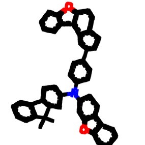 CC1(C)c2ccccc2-c2ccc(N(c3ccc(-c4ccc5ccc6oc7ccccc7c6c5c4)cc3)c3ccc4c(c3)oc3ccccc34)cc21